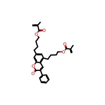 C=C(C)C(=O)OCCCCc1cc(CCCCOC(=O)C(=C)C)c2cc(-c3ccccc3)c(=O)oc2c1